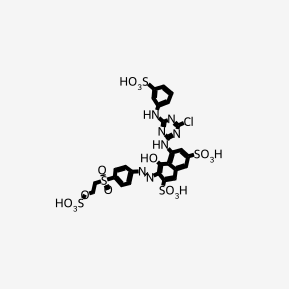 O=S(=O)(O)OCCS(=O)(=O)c1ccc(/N=N/c2c(S(=O)(=O)O)cc3cc(S(=O)(=O)O)cc(Nc4nc(Cl)nc(Nc5cccc(S(=O)(=O)O)c5)n4)c3c2O)cc1